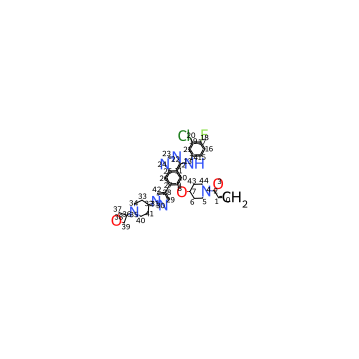 C=CC(=O)N1CCC(Oc2cc3c(Nc4ccc(F)c(Cl)c4)ncnc3cc2-c2cnn(C3CCN(C4COC4)CC3)c2)CC1